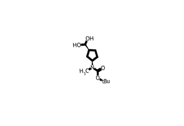 CN(C(=O)OC(C)(C)C)[C@@H]1CC[C@H](C(O)O)C1